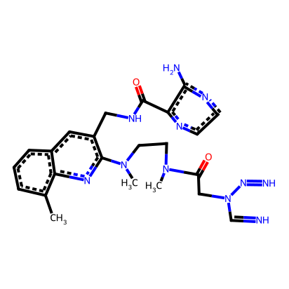 Cc1cccc2cc(CNC(=O)c3nccnc3N)c(N(C)CCN(C)C(=O)CN(C=N)N=N)nc12